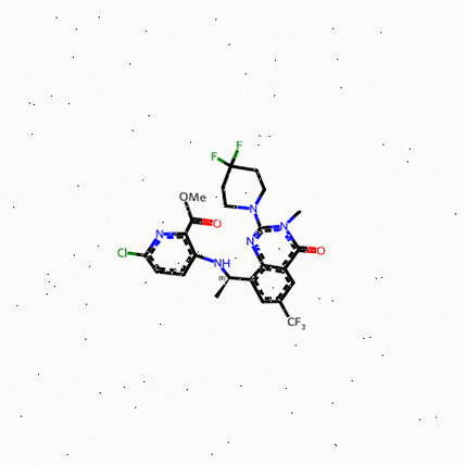 COC(=O)c1nc(Cl)ccc1N[C@H](C)c1cc(C(F)(F)F)cc2c(=O)n(C)c(N3CCC(F)(F)CC3)nc12